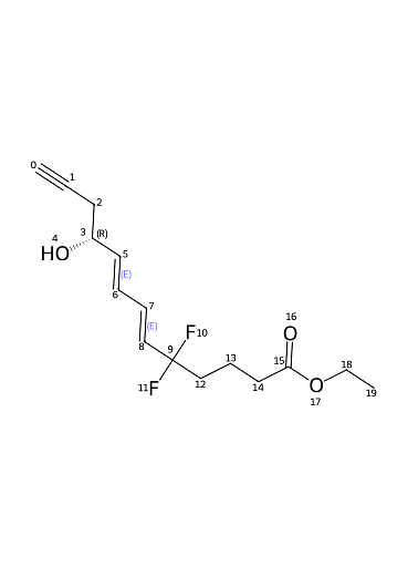 C#CC[C@@H](O)/C=C/C=C/C(F)(F)CCCC(=O)OCC